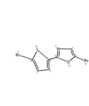 CC(C)c1cnc(-c2ccc(C(C)C)s2)o1